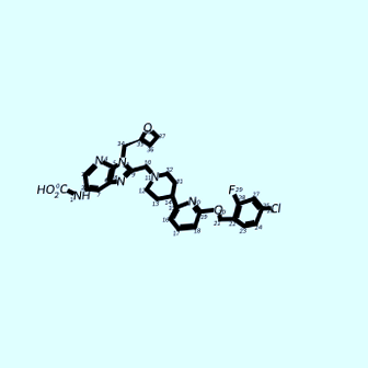 O=C(O)Nc1cnc2c(c1)nc(CN1CCC(c3cccc(OCc4ccc(Cl)cc4F)n3)CC1)n2C[C@@H]1CCO1